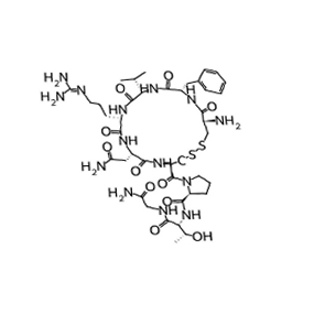 CC(C)[C@@H]1NC(=O)[C@H](Cc2ccccc2)NC(=O)[C@@H](N)CSSC[C@@H](C(=O)N2CCC[C@H]2C(=O)N[C@@H](C(=O)NCC(N)=O)[C@@H](C)O)NC(=O)[C@H](CC(N)=O)NC(=O)[C@H](CCCN=C(N)N)NC1=O